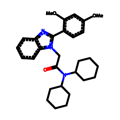 COc1ccc(-c2nc3ccccc3n2CC(=O)N(C2CCCCC2)C2CCCCC2)c(OC)c1